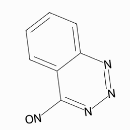 O=Nc1nnnc2ccccc12